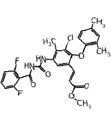 COC(=O)C=Cc1cc(NC(=O)NC(=O)c2c(F)cccc2F)c(C)c(Cl)c1Oc1ccc(C)cc1C